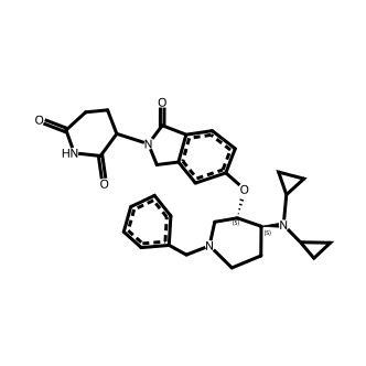 O=C1CCC(N2Cc3cc(O[C@H]4CN(Cc5ccccc5)CC[C@@H]4N(C4CC4)C4CC4)ccc3C2=O)C(=O)N1